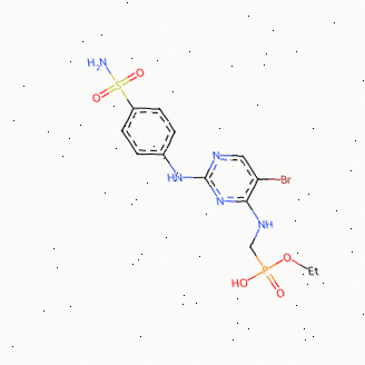 CCOP(=O)(O)CNc1nc(Nc2ccc(S(N)(=O)=O)cc2)ncc1Br